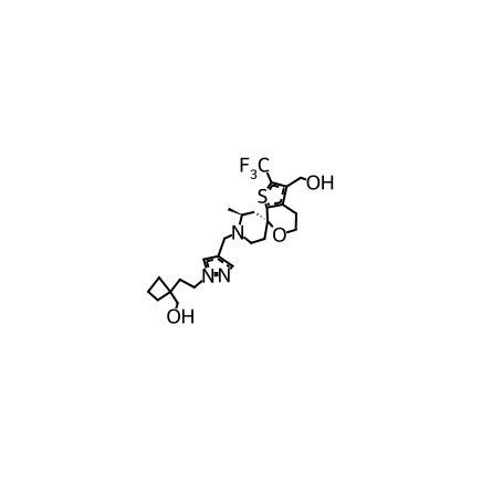 C[C@H]1C[C@@]2(CCN1Cc1cnn(CCC3(CO)CCC3)c1)OCCc1c2sc(C(F)(F)F)c1CO